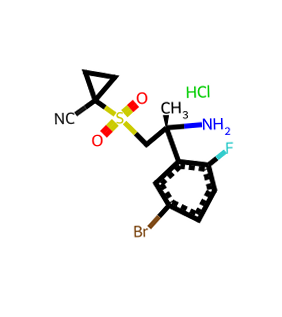 C[C@](N)(CS(=O)(=O)C1(C#N)CC1)c1cc(Br)ccc1F.Cl